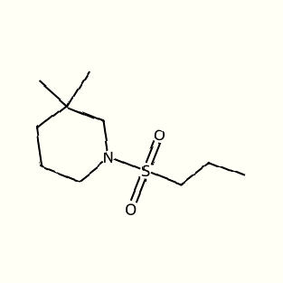 CCCS(=O)(=O)N1CCCC(C)(C)C1